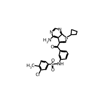 Cc1ccc(S(=O)(=O)Nc2cccc(C(=O)c3cn(C4CCC4)c4ncnc(N)c34)c2)cc1Cl